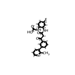 Cc1ncccc1-c1cccc(C(=O)CC(=O)Nc2cc(F)ccc2NC(=O)O)c1